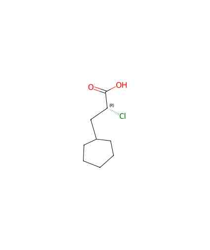 O=C(O)[C@H](Cl)CC1CCCCC1